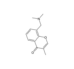 Cc1coc2c(CN(C)C)cccc2c1=O